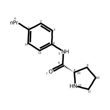 CCCc1ccc(NC(=O)[C@@H]2CCCN2)cc1